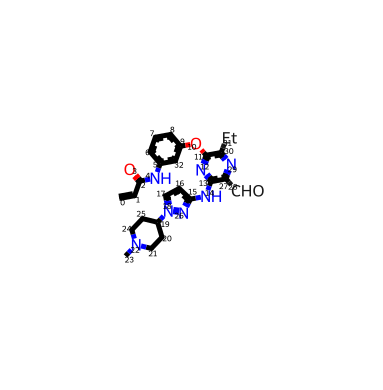 C=CC(=O)Nc1cccc(Oc2nc(Nc3ccn(C4CCN(C)CC4)n3)c(C=O)nc2CC)c1